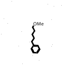 [CH2-][OH+]CCCCCc1ccccc1